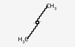 CCCCCCCCCCCCc1[c]cc(CCCCCCCCCCCC)[c]c1